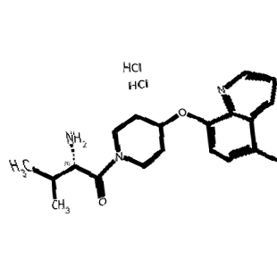 CC(C)[C@H](N)C(=O)N1CCC(Oc2ccc(F)c3cccnc23)CC1.Cl.Cl